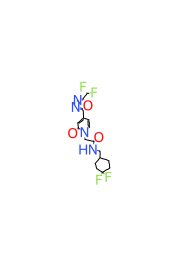 O=C(Cn1ccc(-c2nnc(C(F)F)o2)cc1=O)NCC1CCC(F)(F)CC1